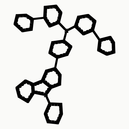 c1ccc(-c2cccc(N(c3ccc(-c4ccc5c(c4)c4ccccc4n5-c4ccccc4)cc3)c3cccc(-c4ccccc4)c3)c2)cc1